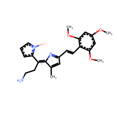 Bn1cccc1/C(CCN)=C1N=C(/C=C/c2c(OC)cc(OC)cc2OC)C=C\1C